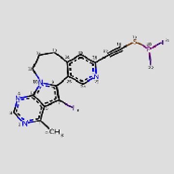 Cc1ncnc2c1c(I)c1n2CCCc2cc(C#CSP(I)I)ncc2-1